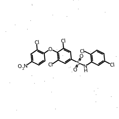 O=[N+]([O-])c1ccc(Oc2c(Cl)cc(S(=O)(=O)Nc3cc(Cl)ccc3Cl)cc2Cl)c(Cl)c1